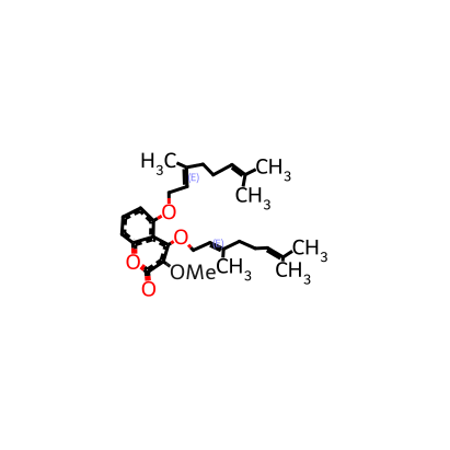 COc1c(OC/C=C(\C)CCC=C(C)C)c2c(OC/C=C(\C)CCC=C(C)C)cccc2oc1=O